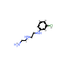 NCCNCCNc1cccc(Cl)c1